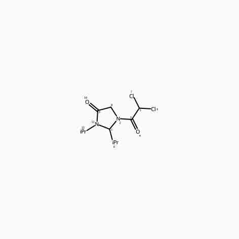 CC(C)C1N(C(=O)C(Cl)Cl)CC(=O)N1C(C)C